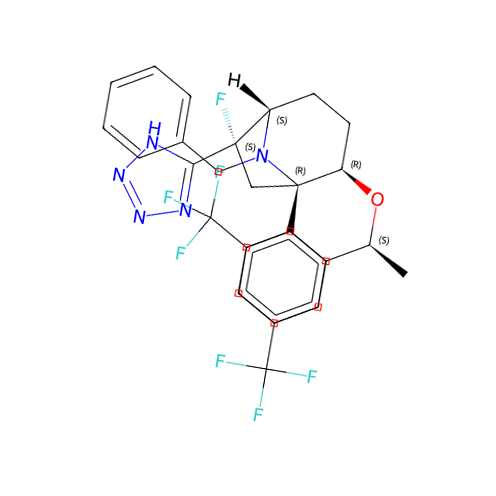 C[C@H](O[C@@H]1CC[C@@H]2N(Cc3ccccc3)[C@@]1(c1ccccc1)C[C@@]2(F)c1nnn[nH]1)c1cc(C(F)(F)F)cc(C(F)(F)F)c1